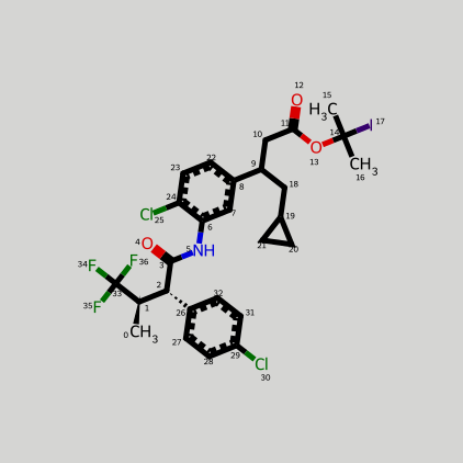 C[C@H]([C@H](C(=O)Nc1cc(C(CC(=O)OC(C)(C)I)CC2CC2)ccc1Cl)c1ccc(Cl)cc1)C(F)(F)F